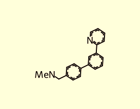 CNCc1ccc(-c2cccc(-c3ccccn3)c2)cc1